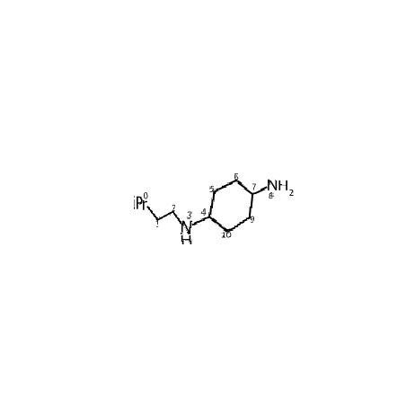 CC(C)CCNC1CCC(N)CC1